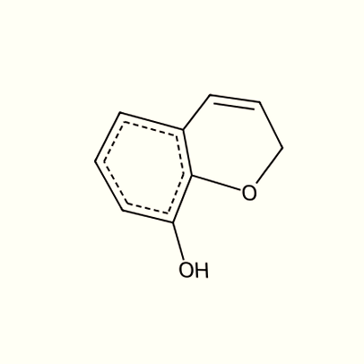 Oc1cccc2c1OCC=C2